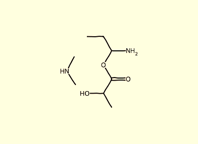 CCC(N)OC(=O)C(C)O.CNC